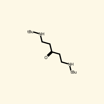 CC(C)(C)NCCC(=O)CCNC(C)(C)C